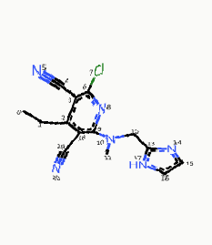 CCc1c(C#N)c(Cl)nc(N(C)Cc2ncc[nH]2)c1C#N